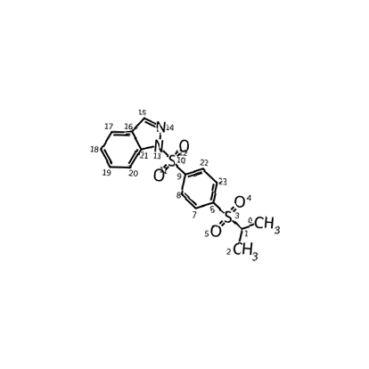 CC(C)S(=O)(=O)c1ccc(S(=O)(=O)n2ncc3ccccc32)cc1